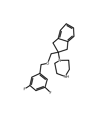 Fc1cc(F)cc(COCC2(N3CCNCC3)Cc3ccccc3C2)c1